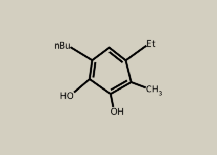 CCCCc1cc(CC)c(C)c(O)c1O